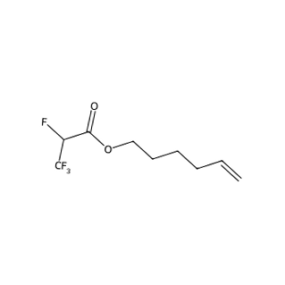 C=CCCCCOC(=O)C(F)C(F)(F)F